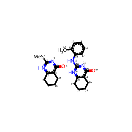 CSc1nc(=O)c2c([nH]1)CCCC2.Cc1ccccc1Nc1nc(=O)c2c([nH]1)CCCC2